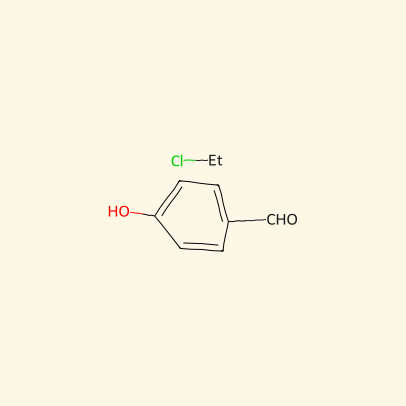 CCCl.O=Cc1ccc(O)cc1